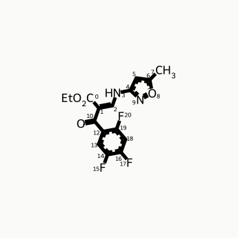 CCOC(=O)C(=CNc1cc(C)on1)C(=O)c1cc(F)c(F)cc1F